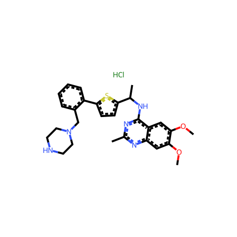 COc1cc2nc(C)nc(NC(C)c3ccc(-c4ccccc4CN4CCNCC4)s3)c2cc1OC.Cl